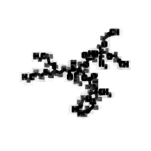 C#CCOCC(C)(COCC#C)NCC(=O)OCC(C)(COC(=O)CNC(C)(COCC#C)COCC#C)NC(=O)CCC(CSCCC)SCCC